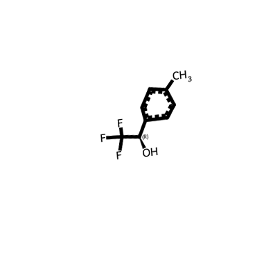 Cc1ccc([C@@H](O)C(F)(F)F)cc1